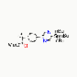 CCC[CH2][Sn]([CH2]CCC)([CH2]CCC)[c]1cnc(-c2ccc(C3(C(=O)OC)CC3)cc2)cn1